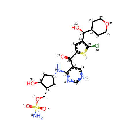 NS(=O)(=O)OC[C@H]1C[C@@H](Nc2ncncc2C(=O)c2cc([C@@H](O)C3CCOCC3)c(Cl)s2)C[C@@H]1O